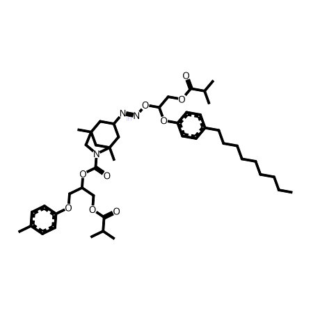 CCCCCCCCCc1ccc(OC(COC(=O)C(C)C)O/N=N/C2CC3(C)CN(C(=O)OC(COC(=O)C(C)C)COc4ccc(C)cc4)C(C)(C2)C3)cc1